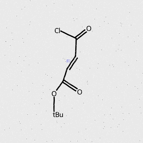 CC(C)(C)OC(=O)/C=C/C(=O)Cl